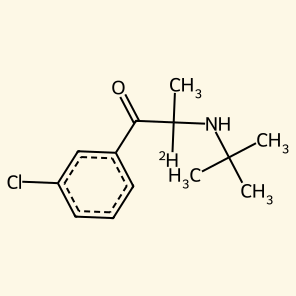 [2H]C(C)(NC(C)(C)C)C(=O)c1cccc(Cl)c1